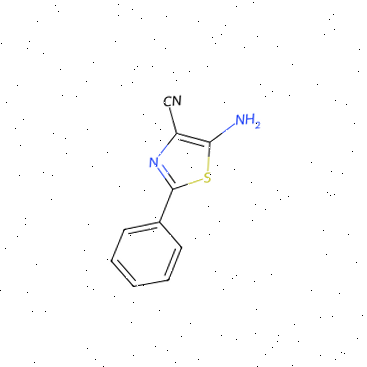 N#Cc1nc(-c2ccccc2)sc1N